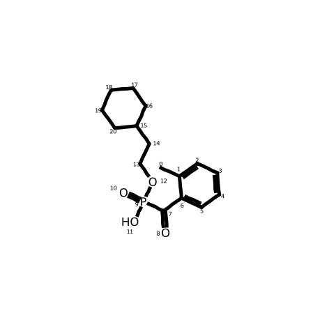 Cc1ccccc1C(=O)P(=O)(O)OCCC1CCCCC1